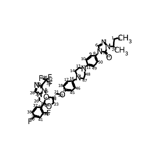 CCC(C)n1ncn(-c2ccc(N3CCN(c4ccc(OC[C@@H]5CO[C@@](Cn6cnc(C(F)(F)F)n6)(c6ccc(F)cc6F)O5)cc4)CC3)cc2)c1=O